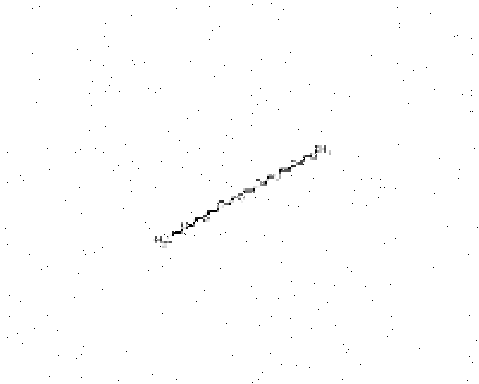 [CH2]CCOCCOCCOCCOCCOCCOCCOCCOC